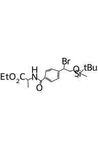 CCOC(=O)C(C)NC(=O)c1ccc(C(Br)CO[Si](C)(C)C(C)(C)C)cc1